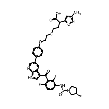 Cc1cc(C(CCOCCOc2ccc(-c3cnc4[nH]cc(C(=O)c5c(F)ccc(N[S+]([O-])N6CC[C@@H](F)C6)c5F)c4c3)cc2)C(=O)O)on1